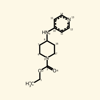 CCOC(=O)N1CCC(Nc2ccncc2)CC1